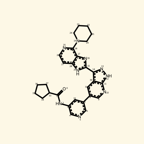 O=C(Nc1cncc(-c2cnc3[nH]nc(-c4nc5c(N6CCCCC6)nccc5[nH]4)c3c2)c1)C1CCCC1